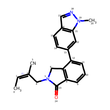 C/C=C(/C#N)CN1Cc2c(cccc2-c2ccc3cnn(C)c3c2)C1=O